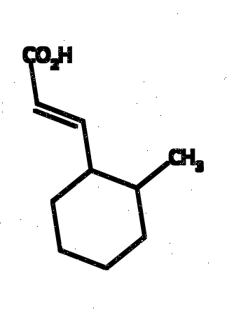 CC1CCCCC1C=CC(=O)O